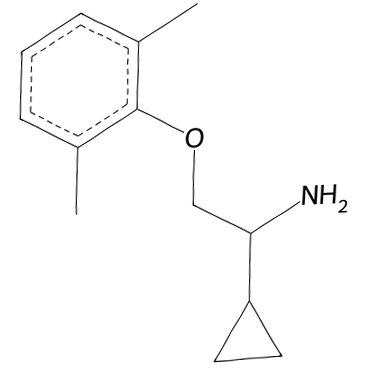 Cc1cccc(C)c1OCC(N)C1CC1